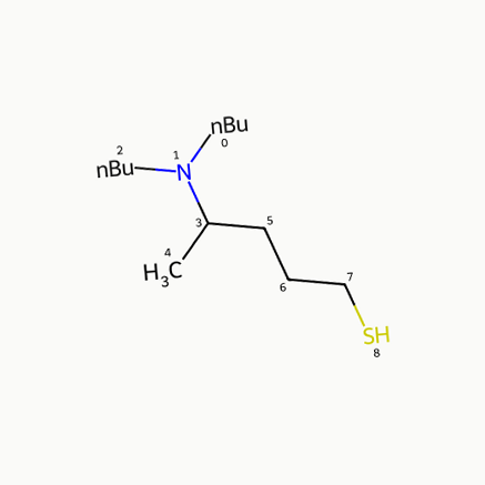 CCCCN(CCCC)C(C)CCCS